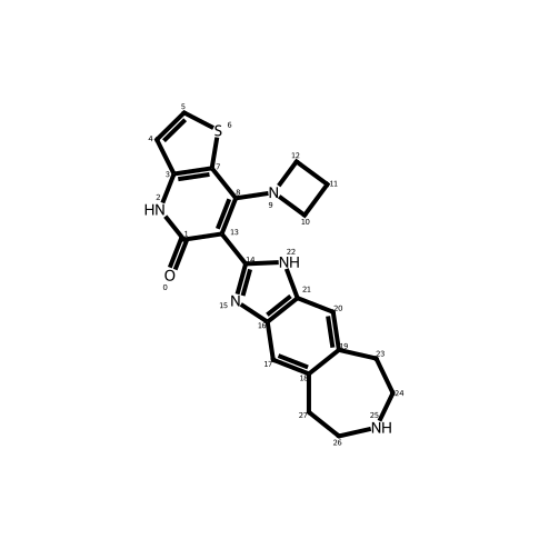 O=c1[nH]c2ccsc2c(N2CCC2)c1-c1nc2cc3c(cc2[nH]1)CCNCC3